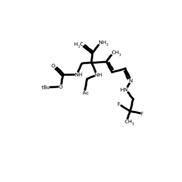 C=C(N)C(CNC(=O)OC(C)(C)C)(NCC(C)=O)/C(C)=C/C=N\NCC(C)(F)F